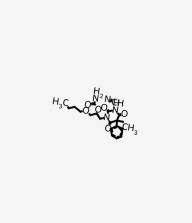 C#N.CCCCOCC(CN1C(=O)NC(=O)C(CC)(c2ccccc2)C1=O)OC(N)=O